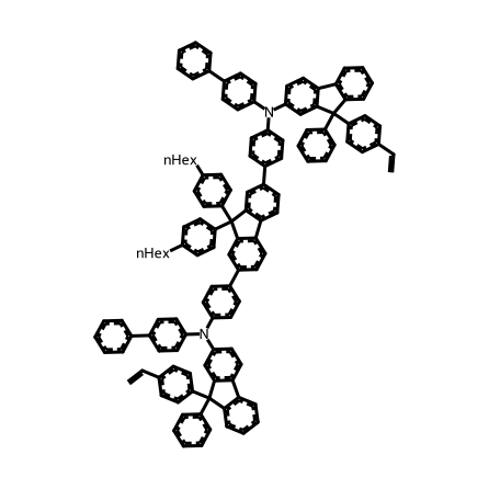 C=Cc1ccc(C2(c3ccccc3)c3ccccc3-c3ccc(N(c4ccc(-c5ccccc5)cc4)c4ccc(-c5ccc6c(c5)C(c5ccc(CCCCCC)cc5)(c5ccc(CCCCCC)cc5)c5cc(-c7ccc(N(c8ccc(-c9ccccc9)cc8)c8ccc9c(c8)C(c8ccccc8)(c8ccc(C=C)cc8)c8ccccc8-9)cc7)ccc5-6)cc4)cc32)cc1